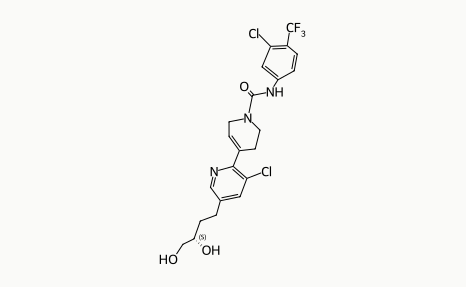 O=C(Nc1ccc(C(F)(F)F)c(Cl)c1)N1CC=C(c2ncc(CC[C@H](O)CO)cc2Cl)CC1